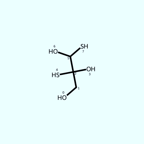 OCC(O)(S)C(O)S